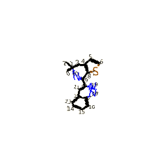 CC1(C)Cc2ccsc2C(c2cc3ccccc3nn2)=N1